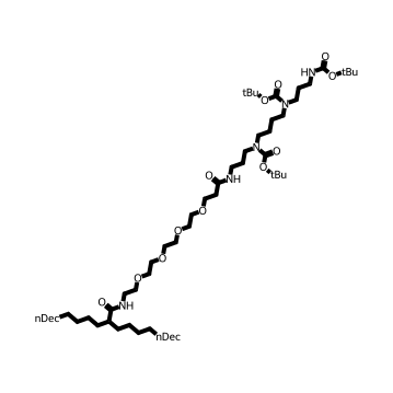 CCCCCCCCCCCCCCC(CCCCCCCCCCCCCC)C(=O)NCCOCCOCCOCCOCCC(=O)NCCCN(CCCCN(CCCNC(=O)OC(C)(C)C)C(=O)OC(C)(C)C)C(=O)OC(C)(C)C